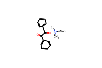 CCCCCCCCCN(C)CC.O=C(C(=O)c1ccccc1)c1ccccc1